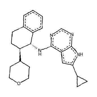 c1ccc2c(c1)CC[C@H](C1CCOCC1)[C@H]2Nc1ncnc2[nH]c(C3CC3)cc12